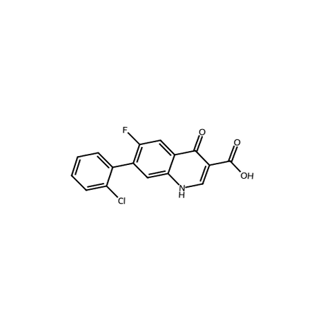 O=C(O)c1c[nH]c2cc(-c3ccccc3Cl)c(F)cc2c1=O